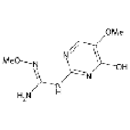 CON=C(N)Nc1ncc(OC)c(O)n1